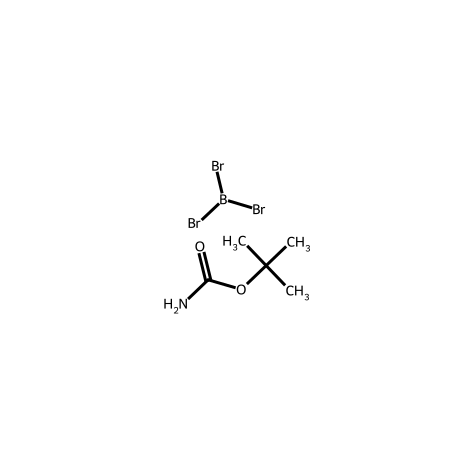 BrB(Br)Br.CC(C)(C)OC(N)=O